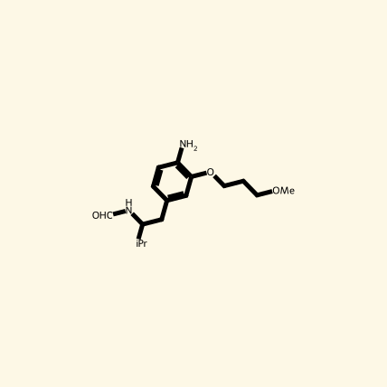 COCCCOc1cc(CC(NC=O)C(C)C)ccc1N